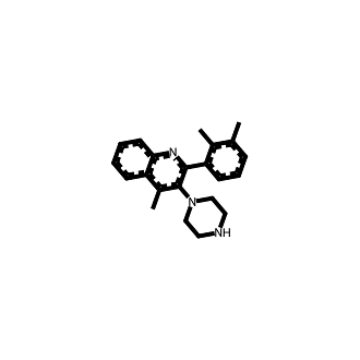 Cc1cccc(-c2nc3ccccc3c(C)c2N2CCNCC2)c1C